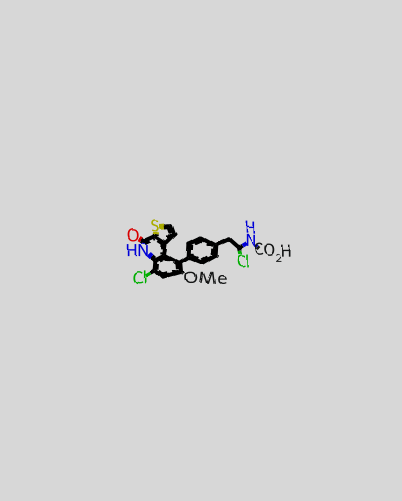 COc1cc(Cl)c2[nH]c(=O)c3sccc3c2c1-c1ccc(CC(Cl)NC(=O)O)cc1